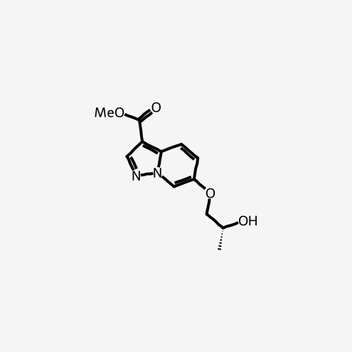 COC(=O)c1cnn2cc(OC[C@@H](C)O)ccc12